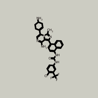 Cc1nc(-c2ccc(NC(=O)Nc3ccc(Cl)c(C(F)(F)F)c3)c3ccccc23)c2c(N)ncc(C3=CCC(N)CC3)n12